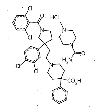 CN1CCN(C(N)=O)CC1.Cl.O=C(c1c(Cl)cccc1Cl)N1CCC(CCN2CCC(C(=O)O)(c3ccccc3)CC2)(c2ccc(Cl)c(Cl)c2)C1